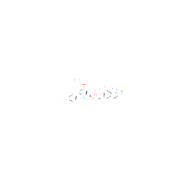 COc1cc(C(=O)NCC(O)(c2cc(C(C)(C)O)c(F)c(-c3ccc(F)cc3)n2)C(F)(F)F)cc2ccc(C(F)(F)F)nc12